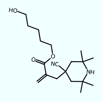 C=C(CC1(C#N)CC(C)(C)NC(C)(C)C1)C(=O)OCCCCCO